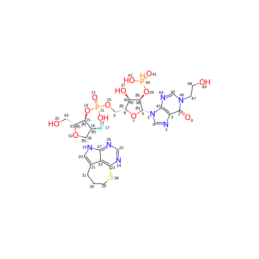 O=c1c2ncn([C@@H]3O[C@H](COP(=O)(O)O[C@H]4[C@@H](F)[C@H](n5cc6c7c(ncnc75)SCCC6)O[C@@H]4CO)[C@@H](O)[C@H]3O[PH](=O)O)c2ncn1CCO